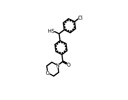 O=C(c1ccc(C(S)c2ccc(Cl)cc2)cc1)N1CCOCC1